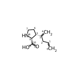 C=CCC(=C)[C@H]1CCN[C@@H]1C(=O)O